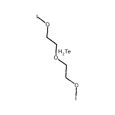 IOCCOCCOI.[TeH2]